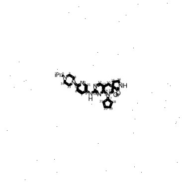 CC(C)N1CCN(c2ccc(Nc3ncc4c(n3)N(C3CCCC3)C(=O)C3(CCNC3=O)C4)cn2)CC1